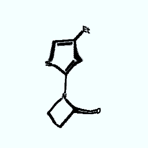 CCc1csc(N2CCC2=O)c1